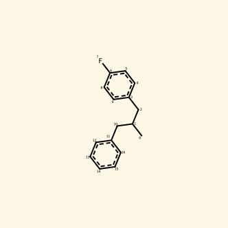 CC([CH]c1ccc(F)cc1)Cc1ccccc1